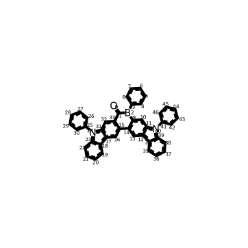 O=C1B(c2ccccc2)c2cc3c(cc2-c2cc4c5ccccc5n(-c5ccccc5)c4cc21)c1ccccc1n3-c1ccccc1